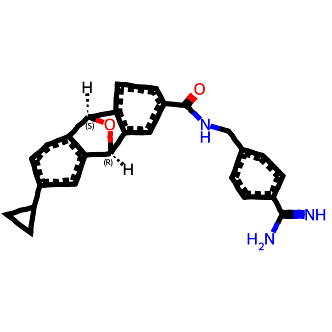 N=C(N)c1ccc(CNC(=O)c2ccc3c(c2)[C@@H]2O[C@H]3c3ccc(C4CC4)cc32)cc1